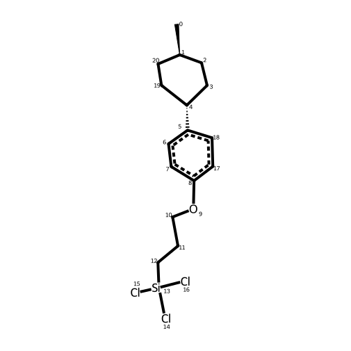 C[C@H]1CC[C@H](c2ccc(OCCC[Si](Cl)(Cl)Cl)cc2)CC1